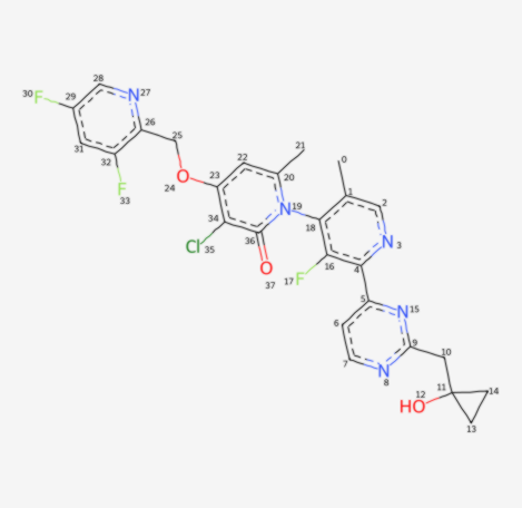 Cc1cnc(-c2ccnc(CC3(O)CC3)n2)c(F)c1-n1c(C)cc(OCc2ncc(F)cc2F)c(Cl)c1=O